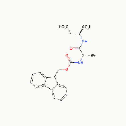 CC(C)[C@H](NC(=O)OCC1c2ccccc2-c2ccccc21)C(=O)N[C@@H](CC(=O)O)C(=O)O